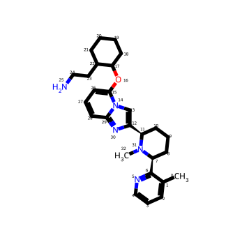 Cc1cccnc1[C@@H]1CCC[C@H](c2cn3c(OC4CCCCC4CCN)cccc3n2)N1C